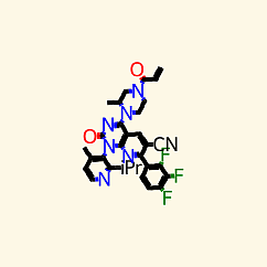 C=CC(=O)N1CCN(c2nc(=O)n(-c3c(C)ccnc3C(C)C)c3nc(-c4ccc(F)c(F)c4F)c(C#N)cc23)C(C)C1